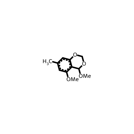 COc1cc(C)cc2c1C(OC)OCO2